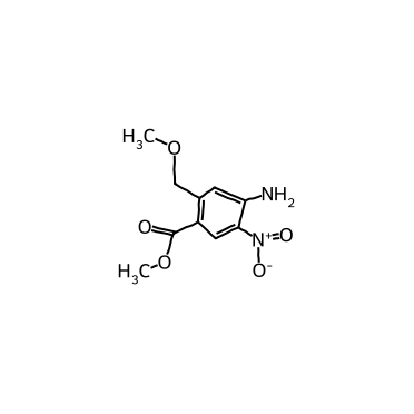 COCc1cc(N)c([N+](=O)[O-])cc1C(=O)OC